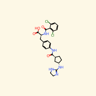 O=C(N[C@@H](Cc1ccc(NC(=O)[C@H]2CC[C@H](NC3=NCCN3)C2)cc1)C(=O)O)c1c(Cl)cccc1Cl